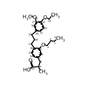 CCCCOc1cc(CC(C)C(=O)O)ccc1CCCc1ccc(OCC)c(OC)c1